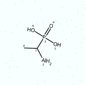 C[CH]([AlH2])P(=O)(O)O